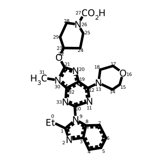 CCc1nc2ccccc2n1-c1nc(N2CCOCC2)c2nc(OC3CCN(C(=O)O)CC3)n(C)c2n1